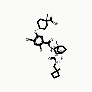 CC1(CNC(=O)[C@H]2[C@@H]3CC[C@@H](C3)[C@H]2NC(=O)c2cc(O[C@H]3CC[C@@](C)(C(=O)O)CC3)c(Cl)cc2F)CCC1